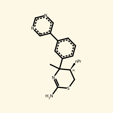 CCC[C@H]1CSC(N)=NC1(C)c1cccc(-c2cncnc2)c1